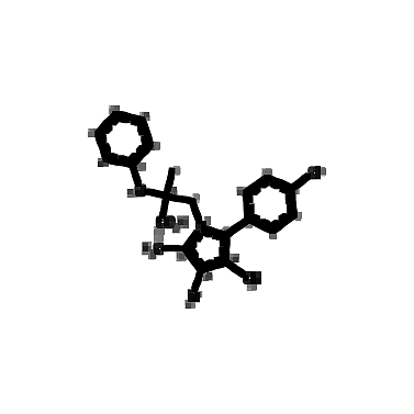 CC(Cn1c(-c2ccc(Cl)cc2)c(C#N)c(Br)c1C(F)(F)F)(Oc1ccccc1)C(=O)O